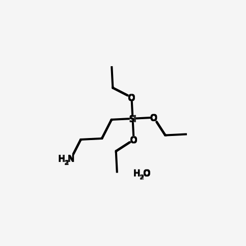 CCO[Si](CCCN)(OCC)OCC.O